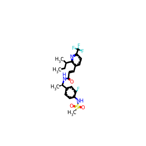 CCC(C)c1nc(C(F)(F)F)ccc1C=CC(=O)N[C@H](C)c1ccc(NS(C)(=O)=O)c(F)c1